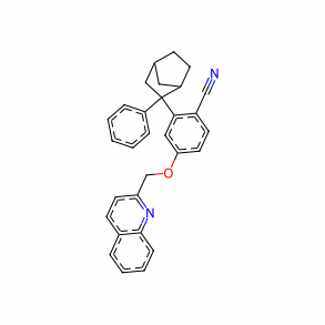 N#Cc1ccc(OCc2ccc3ccccc3n2)cc1C1(c2ccccc2)CC2CCC1C2